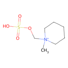 C[N+]1(COS(=O)(=O)O)CCCCC1